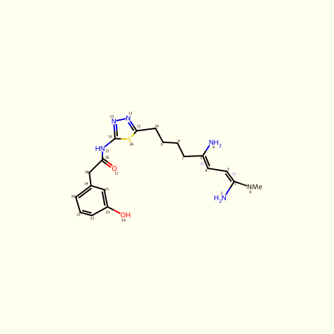 CN/C(N)=C/C=C(\N)CCCCc1nnc(NC(=O)Cc2cccc(O)c2)s1